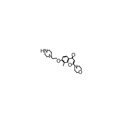 Cc1c(OCCN2CCNCC2)ccc2c(=O)cc(N3CCOCC3)oc12